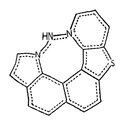 c1cc2sc3ccc4ccc5ccn6[nH][n+](c1)c2c3c4c56